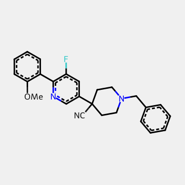 COc1ccccc1-c1ncc(C2(C#N)CCN(Cc3ccccc3)CC2)cc1F